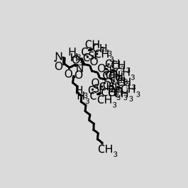 CCCCCCCCCCCCCCCC(=O)OC(c1cnco1)c1nc(C(CC(O[Si](C)(C)C(C)(C)C)C(O[Si](C)(C)C(C)(C)C)C(C)O[Si](C)(C)C(C)(C)C)O[Si](C)(C)C(C)(C)C)co1